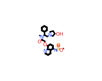 CO[SH](=O)=Nc1ccc(OCC(=O)N(C)C(CN2CC[C@H](O)C2)c2ccccc2)c2ncccc12